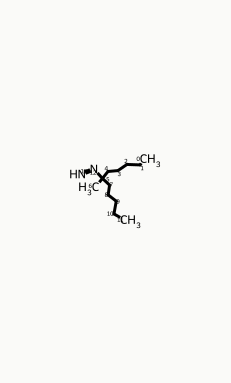 CCCCCC(C)(CCCCC)N=N